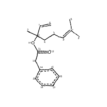 C=CC(C)(CCC=C(C)C)OC(=O)Cc1ccccc1